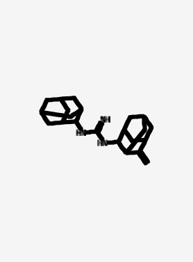 C=C1C2CC3CC(C2)C(NC(=N)NC2C4CC5CC(C4)CC2C5)C1C3